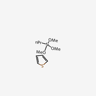 CCC[Si](OC)(OC)OC.c1ccsc1